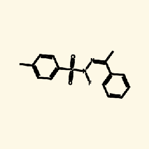 CC(=NN(F)S(=O)(=O)c1ccc(C)cc1)c1ccccc1